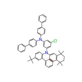 CC(C)(C)c1ccc(N(c2cc(Cl)cc(N(c3ccc(-c4ccccc4)cc3)c3ccc(-c4ccccc4)cc3)c2)c2ccc3c(c2)C(C)(C)CCC3(C)C)c(-c2ccccc2)c1